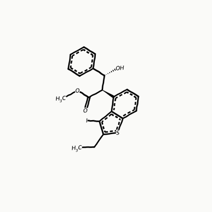 CCc1sc2cccc([C@@H](C(=O)OC)[C@@H](O)c3ccccc3)c2c1I